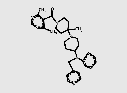 Cc1ncnc(C)c1C(=O)N1CCC(C)(N2CCC(N(Cc3ccncc3)c3ccccc3)CC2)CC1